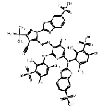 Cc1cc(N(c2nc3ccc(S(=O)(=O)O)cc3s2)c2c(C)cc(C)c(S(=O)(=O)O)c2C)nc(Nc2c(C)cc(C)c(S(=O)(=O)O)c2C)c1/N=N/c1c(C#N)c(C(C)(C)C)nn1-c1nc2ccc(S(=O)(=O)O)cc2s1